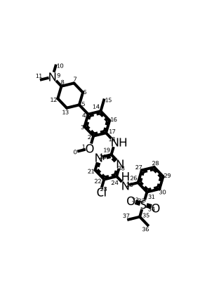 COc1cc(C2CCC(N(C)C)CC2)c(C)cc1Nc1ncc(Cl)c(Nc2ccccc2S(=O)(=O)C(C)C)n1